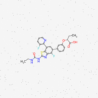 CCNC(=O)Nc1nc2c(F)c(-c3cccc(OC(CC)C(=O)O)c3)cc(-c3ncccc3F)c2s1